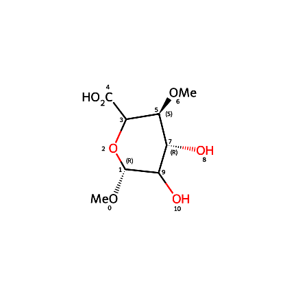 CO[C@@H]1OC(C(=O)O)[C@@H](OC)[C@H](O)C1O